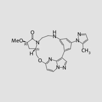 CO[C@@H]1C[C@H]2COc3ccn4ncc(c4n3)-c3cc(cc(-n4nccc4C)c3)NCCN2C1=O